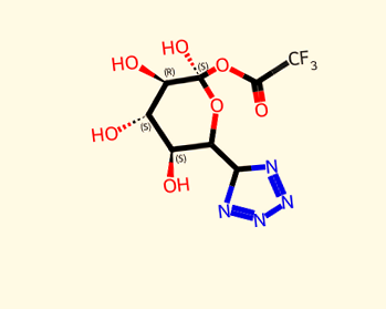 O=C(O[C@@]1(O)OC(C2N=NN=N2)[C@@H](O)[C@H](O)[C@H]1O)C(F)(F)F